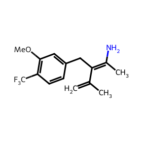 C=C(C)/C(Cc1ccc(C(F)(F)F)c(OC)c1)=C(\C)N